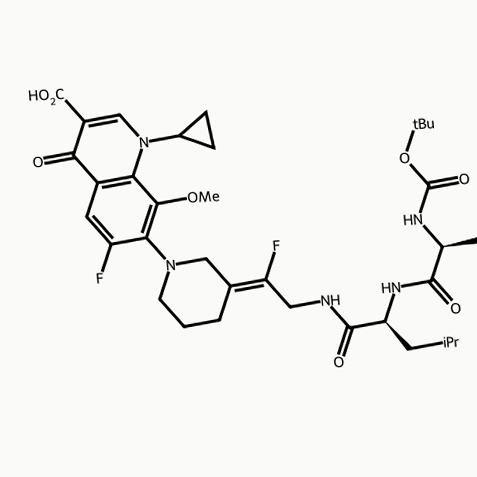 COc1c(N2CCCC(=C(F)CNC(=O)[C@H](CC(C)C)NC(=O)[C@H](C)NC(=O)OC(C)(C)C)C2)c(F)cc2c(=O)c(C(=O)O)cn(C3CC3)c12